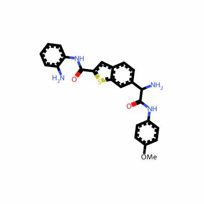 COc1ccc(NC(=O)C(N)c2ccc3cc(C(=O)Nc4ccccc4N)sc3c2)cc1